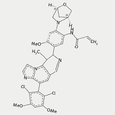 C=CC(=O)Nc1cc(C2N=Cc3cc(-c4c(Cl)c(OC)cc(OC)c4Cl)c4nccn4c3C2C)c(OC)cc1N1C[C@@H]2C[C@H]1CO2